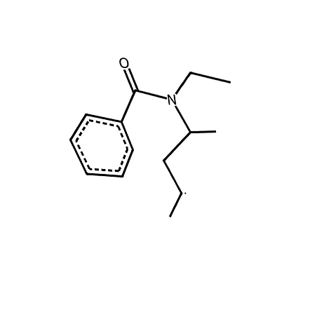 C[CH]CC(C)N(CC)C(=O)c1ccccc1